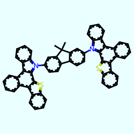 CC1(C)c2cc(-n3c4ccccc4c4c5ccccc5c5c6ccccc6sc5c43)ccc2-c2ccc(-n3c4ccccc4c4c5ccccc5c5c6ccccc6sc5c43)cc21